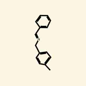 Cc1ccc(CN=Cc2ccccc2)cc1